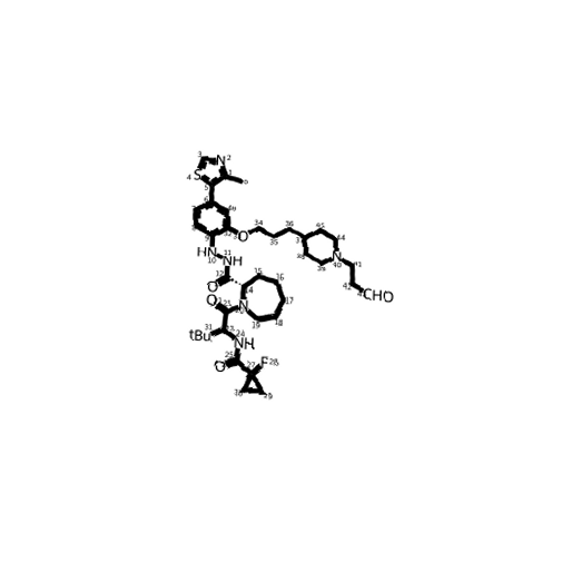 Cc1ncsc1-c1ccc(NNC(=O)[C@@H]2CCCCCN2C(=O)C(NC(=O)C2(F)CC2)C(C)(C)C)c(OCCCC2CCN(CCC=O)CC2)c1